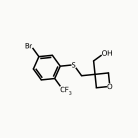 OCC1(CSc2cc(Br)ccc2C(F)(F)F)COC1